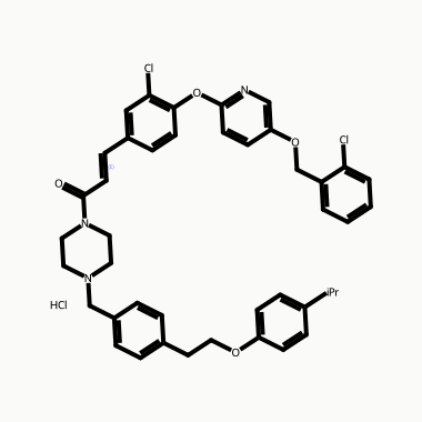 CC(C)c1ccc(OCCc2ccc(CN3CCN(C(=O)/C=C/c4ccc(Oc5ccc(OCc6ccccc6Cl)cn5)c(Cl)c4)CC3)cc2)cc1.Cl